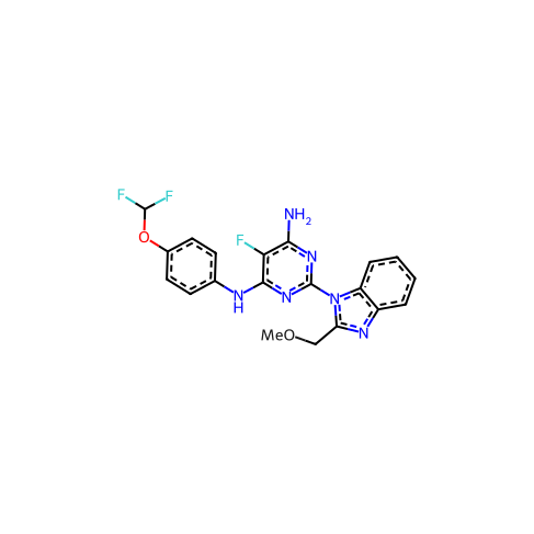 COCc1nc2ccccc2n1-c1nc(N)c(F)c(Nc2ccc(OC(F)F)cc2)n1